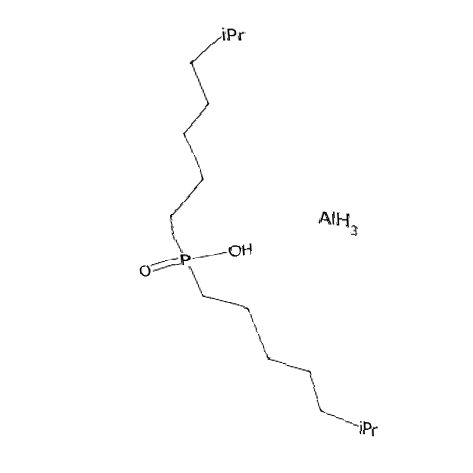 CC(C)CCCCCP(=O)(O)CCCCCC(C)C.[AlH3]